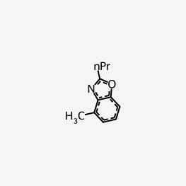 CCCc1nc2c(C)cccc2o1